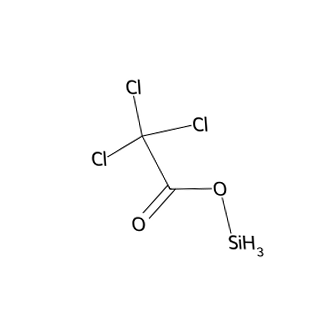 O=C(O[SiH3])C(Cl)(Cl)Cl